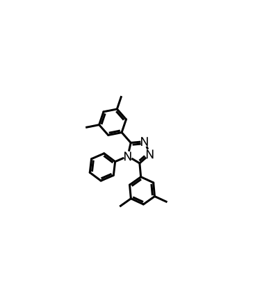 Cc1cc(C)cc(-c2nnc(-c3cc(C)cc(C)c3)n2-c2ccccc2)c1